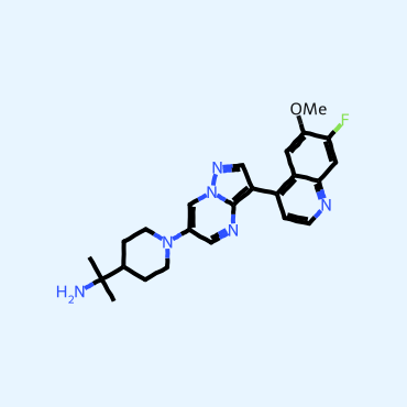 COc1cc2c(-c3cnn4cc(N5CCC(C(C)(C)N)CC5)cnc34)ccnc2cc1F